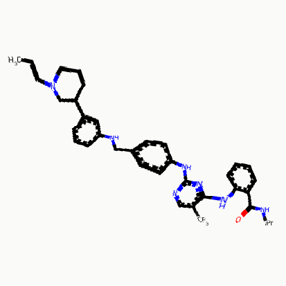 CC=CN1CCCC(c2cccc(NCc3ccc(Nc4ncc(C(F)(F)F)c(Nc5ccccc5C(=O)NC(C)C)n4)cc3)c2)C1